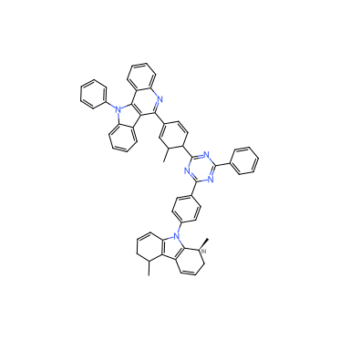 CC1CC=Cc2c1c1c(n2-c2ccc(-c3nc(-c4ccccc4)nc(C4C=CC(c5nc6ccccc6c6c5c5ccccc5n6-c5ccccc5)=CC4C)n3)cc2)[C@@H](C)CC=C1